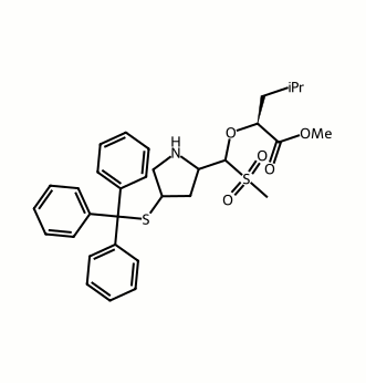 COC(=O)[C@H](CC(C)C)OC(C1CC(SC(c2ccccc2)(c2ccccc2)c2ccccc2)CN1)S(C)(=O)=O